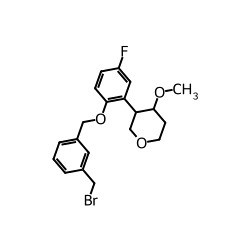 COC1CCOCC1c1cc(F)ccc1OCc1cccc(CBr)c1